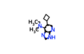 CCN(C)c1c(C2CCC2)cnc2[nH]cnc12